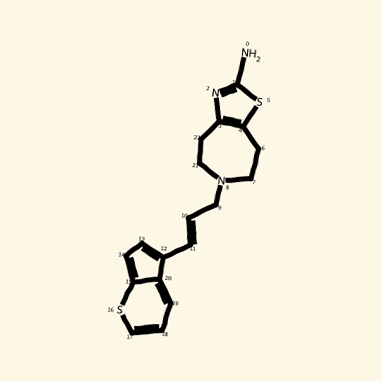 Nc1nc2c(s1)CCN(CC=Cc1ccc3scccc1-3)CC2